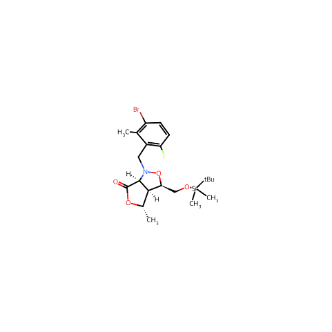 Cc1c(Br)ccc(F)c1CN1O[C@@H](CO[Si](C)(C)C(C)(C)C)[C@H]2[C@H](C)OC(=O)[C@H]21